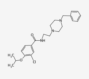 CC(C)Oc1ccc(C(=O)NCCN2CCN(Cc3ccccc3)CC2)cc1Cl